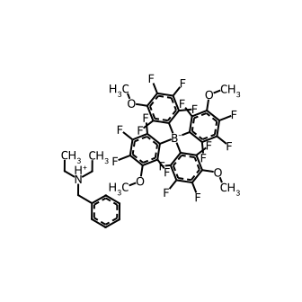 CC[NH+](CC)Cc1ccccc1.COc1c(F)c(F)c(F)c([B-](c2c(F)c(F)c(F)c(OC)c2F)(c2c(F)c(F)c(F)c(OC)c2F)c2c(F)c(F)c(F)c(OC)c2F)c1F